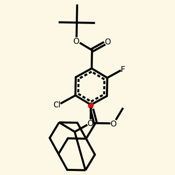 COC(=O)C12CC3CC(C1)C(Oc1cc(F)c(C(=O)OC(C)(C)C)cc1Cl)C(C3)C2